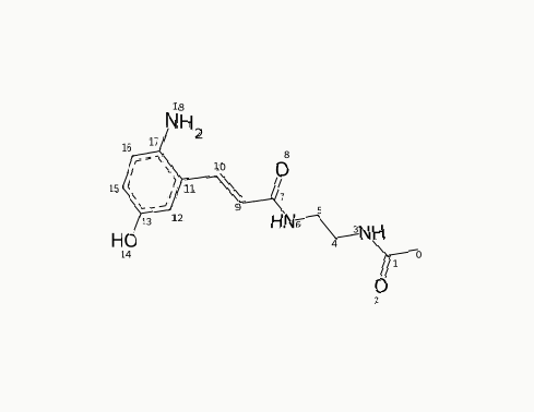 CC(=O)NCCNC(=O)/C=C/c1cc(O)ccc1N